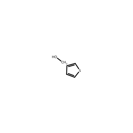 CO.c1ccsc1